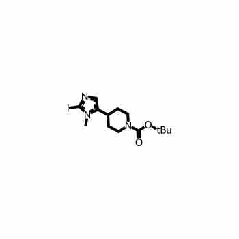 Cn1c(C2CCN(C(=O)OC(C)(C)C)CC2)cnc1I